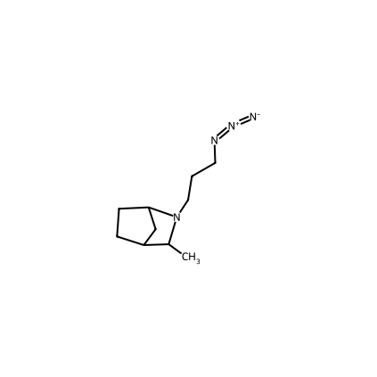 CC1C2CCC(C2)N1CCCN=[N+]=[N-]